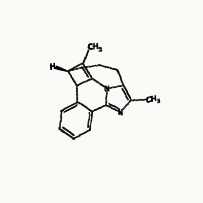 CC1=C2C3c4ccccc4-c4nc(C)c(n42)CC[C@@H]13